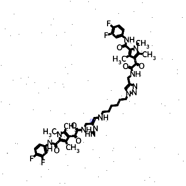 Cc1c(C(=O)C(=O)NC/C(=C/NCCCCCCn2cc(CNC(=O)C(=O)c3c(C)c(C(=O)Nc4ccc(F)c(F)c4)n(C)c3C)nn2)N=N)c(C)n(C)c1C(=O)Nc1ccc(F)c(F)c1